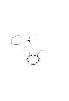 NCc1ccncc1OC[C@@H]1CCCN1C(=O)O